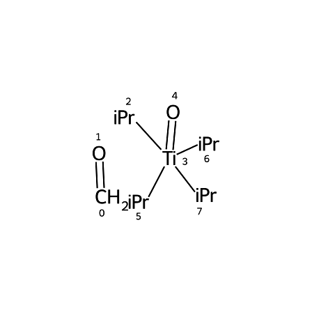 C=O.C[CH](C)[Ti](=[O])([CH](C)C)([CH](C)C)[CH](C)C